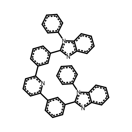 c1ccc(-n2c(-c3cccc(-c4cccc(-c5cccc(-c6nc7ccccc7n6-c6ccccc6)c5)n4)c3)nc3ccccc32)cc1